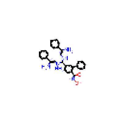 N/C(=C\NC(c1ccc(C(=O)NO)c(-c2ccccc2)c1)N(N)/C=C(\N)c1ccccc1)c1ccccc1